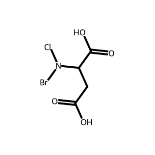 O=C(O)CC(C(=O)O)N(Cl)Br